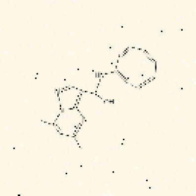 Cc1cc(C)n2ncc(C(O)NC3=C/C=C\C=C/C=C\3)c2n1